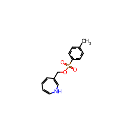 Cc1ccc(S(=O)(=O)OCC2=CNC=CC=C2)cc1